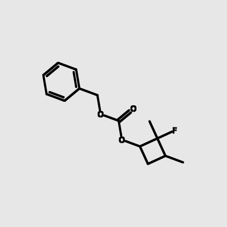 CC1CC(OC(=O)OCc2ccccc2)C1(C)F